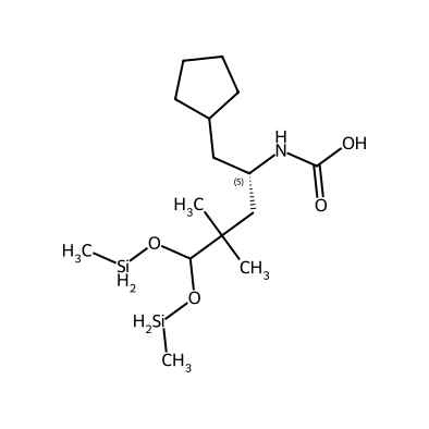 C[SiH2]OC(O[SiH2]C)C(C)(C)C[C@H](CC1CCCC1)NC(=O)O